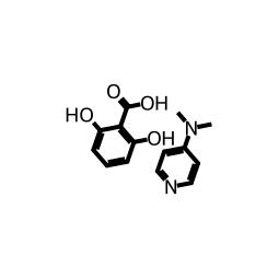 CN(C)c1ccncc1.O=C(O)c1c(O)cccc1O